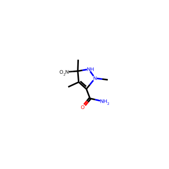 CC1=C(C(N)=O)N(C)NC1(C)[N+](=O)[O-]